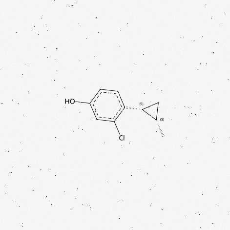 C[C@H]1C[C@H]1c1ccc(O)cc1Cl